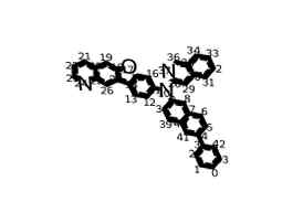 c1ccc(-c2ccc3cc(N(c4ccc5c(c4)oc4cc6cccnc6cc45)c4cc5ccccc5cn4)ccc3c2)cc1